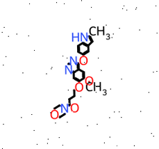 COc1cc2c(Oc3ccc4[nH]c(C)cc4c3)ncnc2cc1OCCCC(=O)N1CCOCC1